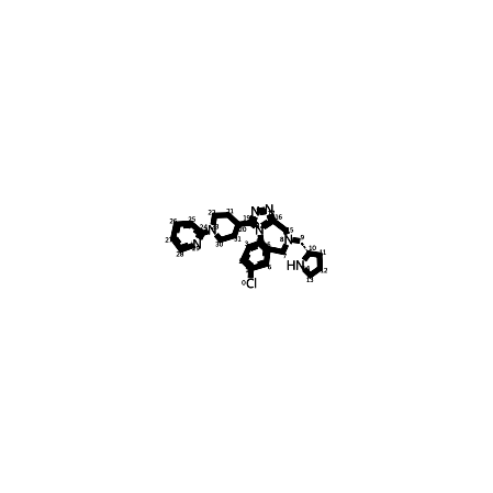 Clc1ccc2c(c1)CN(C[C@@H]1CCCN1)Cc1nnc(C3CCN(c4ccccn4)CC3)n1-2